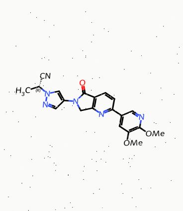 COc1cc(-c2ccc3c(n2)CN(c2cnn([C@H](C)C#N)c2)C3=O)cnc1OC